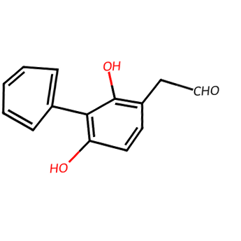 O=CCc1ccc(O)c(-c2ccccc2)c1O